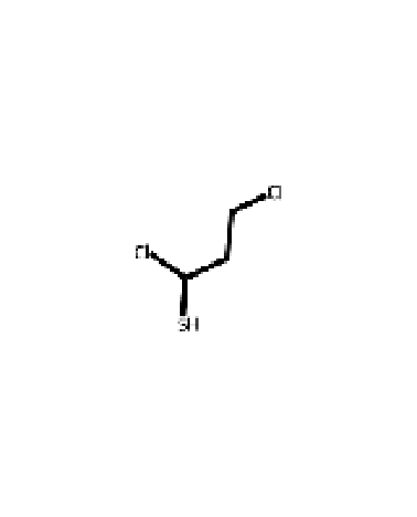 SC(Cl)CCCl